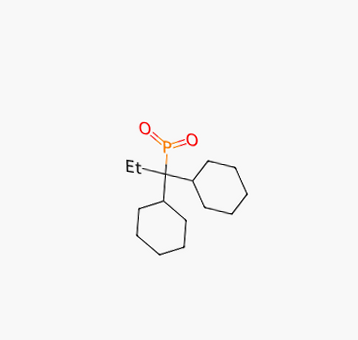 CCC(C1CCCCC1)(C1CCCCC1)P(=O)=O